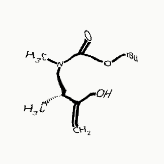 C=C(O)[C@H](C)N(C)C(=O)OC(C)(C)C